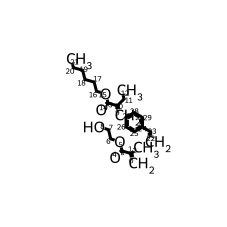 C=C(C)C(=O)OCCO.C=C(CC)C(=O)OCCCCCC.C=Cc1ccccc1